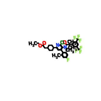 CCOC(=O)CC1CCC(c2cc(-c3ccc(F)cc3C)c(N(C)C(=O)C(C)(C)c3cc(C(F)(F)F)cc(C(F)(F)F)c3)c(Cl)n2)CC1